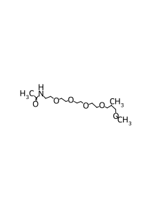 COCC(C)COCCOCCOCCOCCNC(C)=O